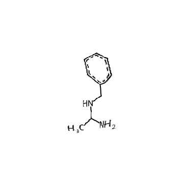 CC(N)NCc1ccccc1